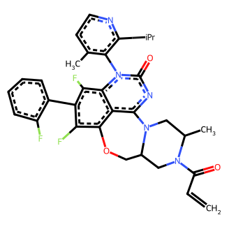 C=CC(=O)N1CC2COc3c(F)c(-c4ccccc4F)c(F)c4c3c(nc(=O)n4-c3c(C)ccnc3C(C)C)N2CC1C